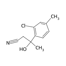 Cc1ccc(C(C)(O)CC#N)c(Cl)c1